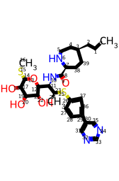 CCC[C@@H]1CCN[C@H](C(=O)N[C@@H](C2OC(SC)C(O)C(O)C2O)[C@H](C)Sc2ccc(-c3cncnc3)cc2)CC1